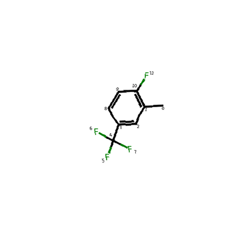 Cc1cc(C(F)(F)F)ccc1F